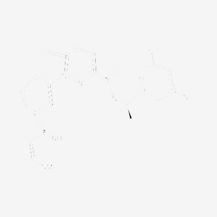 CN/C=C\C(=N)c1cccc(-n2nc(C(=O)N[C@H](C)c3cc(N)cc(C(F)(F)F)c3)ccc2=O)c1